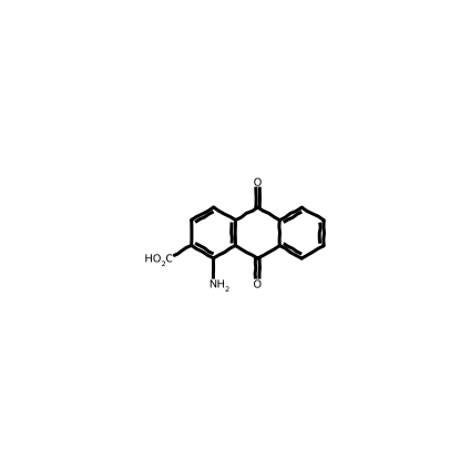 Nc1c(C(=O)O)ccc2c1C(=O)c1ccccc1C2=O